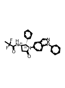 CC(F)(F)C(=O)N[C@@H]1CC(=O)N(c2ccc3c(cnn3-c3ccccc3)c2)[C@H]1c1ccccc1